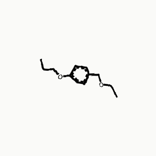 CCCOc1ccc(COCC)cc1